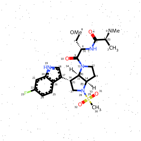 CN[C@@H](C)C(=O)N[C@@H](COC)C(=O)N1CC[C@@H]2[C@H]1[C@@H](c1c[nH]c3cc(F)ccc13)CN2S(C)(=O)=O